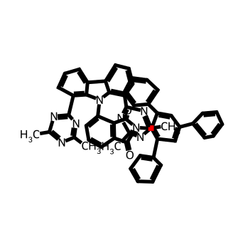 Cc1nc(C)nc(-c2cccc3c4cccc(-c5nc(C)nc(C)n5)c4n(-c4cccc5c4C(=O)N(c4c(-c6ccccc6)cc(-c6ccccc6)cc4-c4ccccc4)C5=O)c23)n1